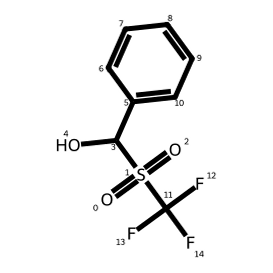 O=S(=O)(C(O)c1[c]cccc1)C(F)(F)F